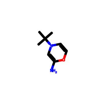 CC(C)(C)N1C=COC(N)=C1